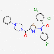 O=C(c1csc(N(C(=O)c2ccc(Cl)cc2Cl)c2ccc(Cl)cc2)n1)N1CCN(c2ccccc2)CC1